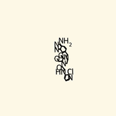 COCC1C(=O)N(Cc2ccc3c(N)ncnc3c2)CCN1C(=O)CNc1cccnc1Cl